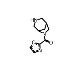 O=C(c1ncco1)N1CC2CNCC1C2